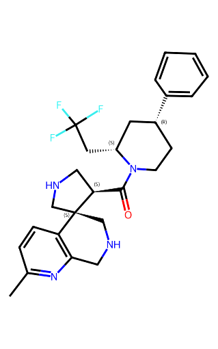 Cc1ccc2c(n1)CNC[C@]21CNC[C@H]1C(=O)N1CC[C@@H](c2ccccc2)C[C@H]1CC(F)(F)F